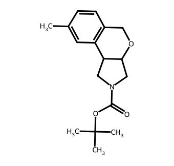 Cc1ccc2c(c1)C1CN(C(=O)OC(C)(C)C)CC1OC2